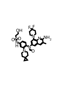 Cc1cc2cc(N(C=O)c3ccc(NS(=O)(=O)CCO)cc3N3CCC4(CC3)CC4)cc(N3CCC(F)(F)CC3)c2nc1N